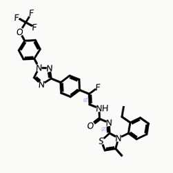 CCc1ccccc1-n1c(C)cs/c1=N\C(=O)N/C=C(\F)c1ccc(-c2ncn(-c3ccc(OC(F)(F)F)cc3)n2)cc1